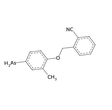 Cc1cc([AsH2])ccc1OCc1ccccc1C#N